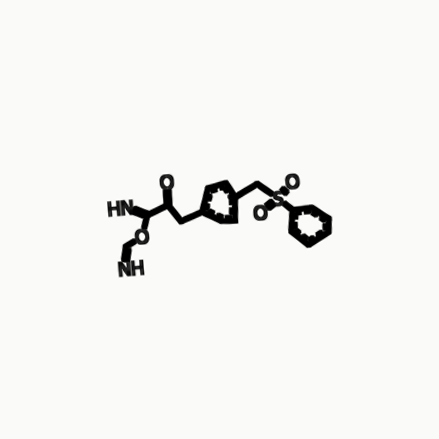 N=COC(=N)C(=O)Cc1ccc(CS(=O)(=O)c2ccccc2)cc1